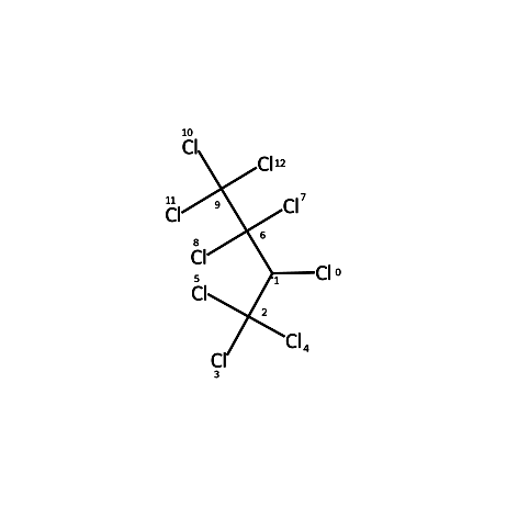 Cl[C](C(Cl)(Cl)Cl)C(Cl)(Cl)C(Cl)(Cl)Cl